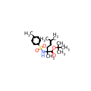 CC(C)=CCC(C)(NS(=O)(=O)c1ccc(C)cc1)C(=O)OC(C)(C)C